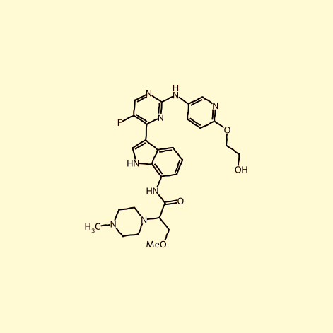 COCC(C(=O)Nc1cccc2c(-c3nc(Nc4ccc(OCCO)nc4)ncc3F)c[nH]c12)N1CCN(C)CC1